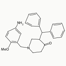 COc1ccc(N)cc1CN1CCC(=O)C(C(c2ccccc2)c2ccccc2)C1